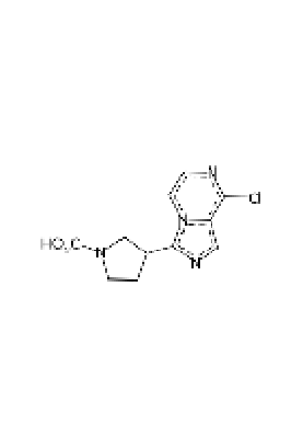 O=C(O)N1CCC(c2ncc3c(Cl)nccn23)C1